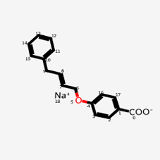 O=C([O-])c1ccc(OCC=CCc2ccccc2)cc1.[Na+]